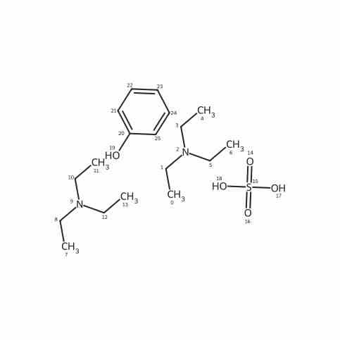 CCN(CC)CC.CCN(CC)CC.O=S(=O)(O)O.Oc1ccccc1